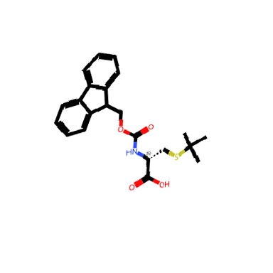 CC(C)(C)SC[C@@H](NC(=O)OCC1c2ccccc2-c2ccccc21)C(=O)O